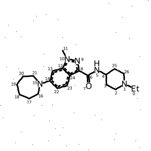 CCN1CCC(NC(=O)c2nn(C)c3cc(N4CCCCCC4)ccc23)CC1